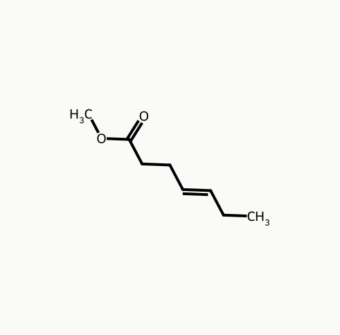 CCC=CCCC(=O)OC